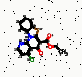 CCOC(=O)c1c(=O)c2c(Cl)ccnc2n2c1sc1ccccc12